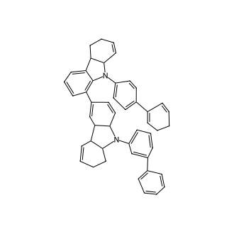 C1=CC(c2ccc(N3c4c(C5=CC6C7C=CCCC7N(c7cccc(-c8ccccc8)c7)C6C=C5)cccc4C4CCC=CC43)cc2)=CCC1